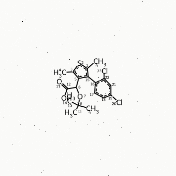 Cc1sc(C)c(C(OC(C)(C)C)C(=O)O)c1-c1ccc(Cl)cc1Cl